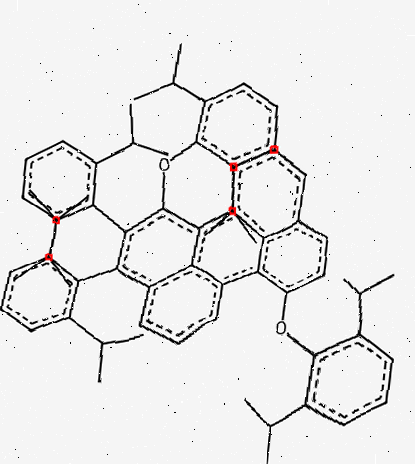 CC(C)c1cccc(C(C)C)c1Oc1ccc2cccc3c4c(Oc5c(C(C)C)cccc5C(C)C)c(-c5c(C(C)C)cccc5C(C)C)c(-c5c(C(C)C)cccc5C(C)C)c5cccc(c1c23)c54